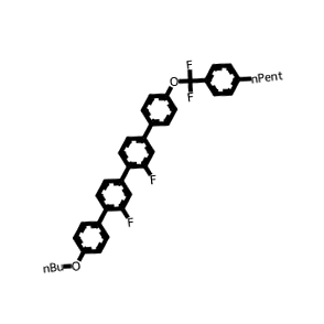 CCCCCc1ccc(C(F)(F)Oc2ccc(-c3ccc(-c4ccc(-c5ccc(OCCCC)cc5)c(F)c4)c(F)c3)cc2)cc1